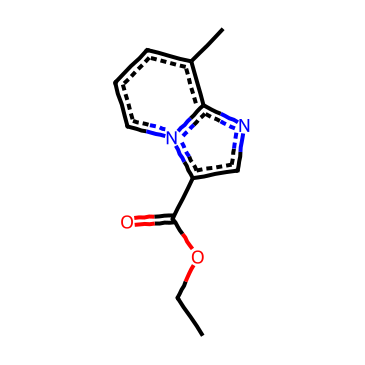 CCOC(=O)c1cnc2c(C)cccn12